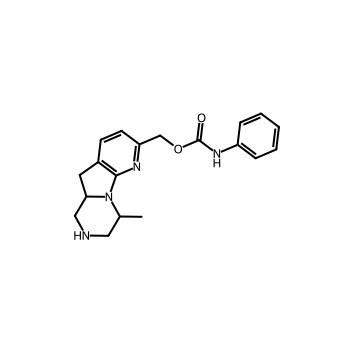 CC1CNCC2Cc3ccc(COC(=O)Nc4ccccc4)nc3N12